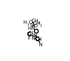 CC(C)(C)OC(=O)N[C@@H]1CCC[C@H](n2c(-c3ncccc3F)nc3cc(C#N)ncc32)C1